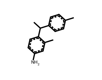 Cc1ccc(C(C)c2ccc(N)cc2C)cc1